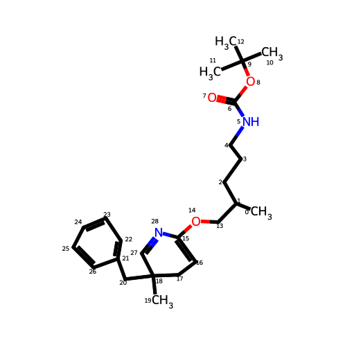 CC(CCCNC(=O)OC(C)(C)C)COC1=CCC(C)(Cc2ccccc2)C=N1